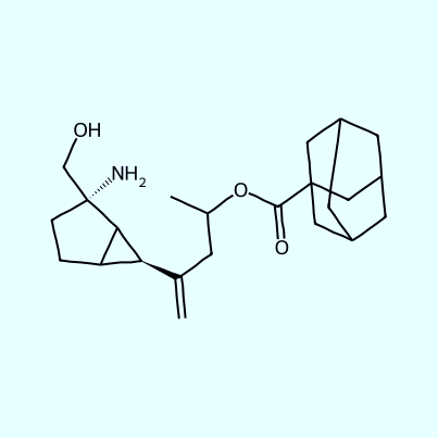 C=C(CC(C)OC(=O)C12CC3CC(CC(C3)C1)C2)[C@H]1C2CC[C@@](N)(CO)C21